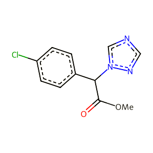 COC(=O)C(c1ccc(Cl)cc1)n1cncn1